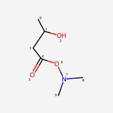 CC(O)CC(=O)ON(C)C